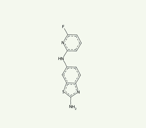 Nc1nc2ccc(Nc3cccc(F)n3)cc2s1